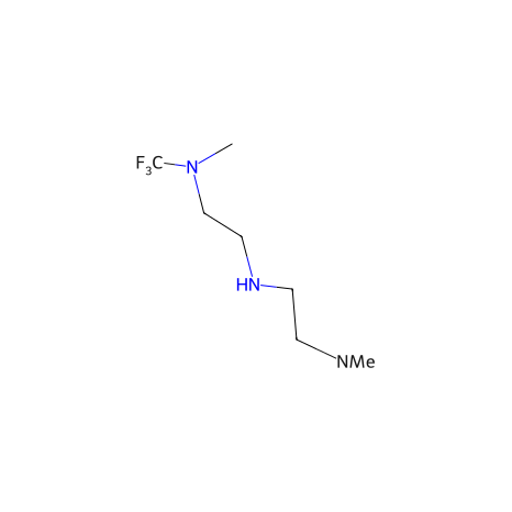 CNCCNCCN(C)C(F)(F)F